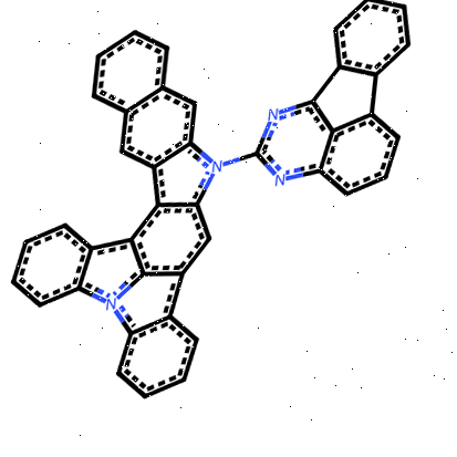 c1ccc2c(c1)-c1cccc3nc(-n4c5cc6ccccc6cc5c5c6c7ccccc7n7c8ccccc8c(cc54)c67)nc-2c13